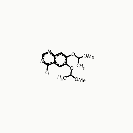 COC(C)Oc1cc2ncnc(Cl)c2cc1OC(C)OC